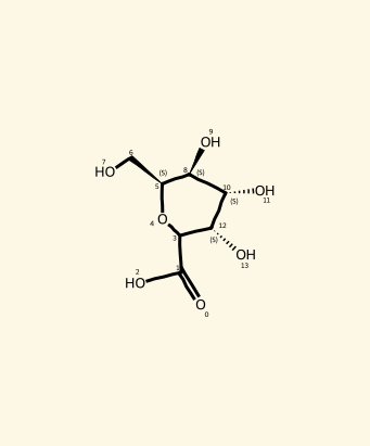 O=C(O)C1O[C@@H](CO)[C@@H](O)[C@H](O)[C@@H]1O